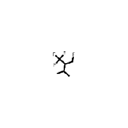 CC(C)C(CF)C(F)(F)F